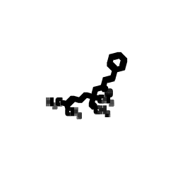 C=CC(C)(CCC=C(C)C)CC(=O)/C=C/c1ccccc1